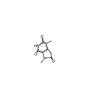 CN1C(=O)Cc2c1c(=O)[nH]c(=O)n2C